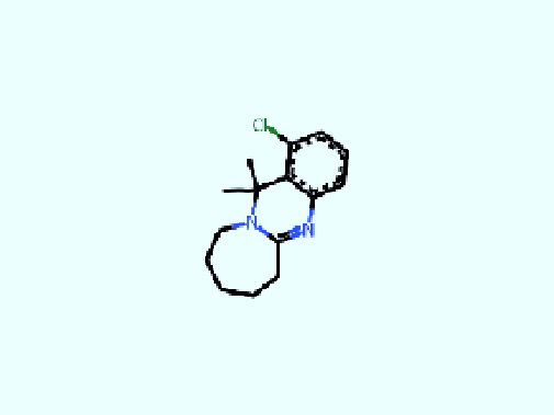 CC1(C)c2c(Cl)cccc2N=C2CCCCCN21